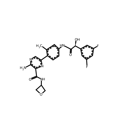 Cc1cc(NC(=O)[C@@H](O)c2cc(F)cc(F)c2)ccc1-c1cnc(N)c(C(=O)NC2COC2)n1